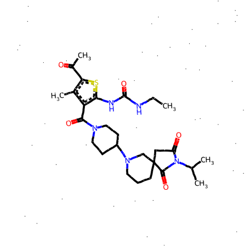 CCNC(=O)Nc1sc(C(C)=O)c(C)c1C(=O)N1CCC(N2CCCC3(CC(=O)N(C(C)C)C3=O)C2)CC1